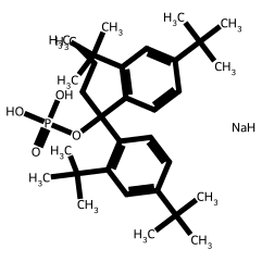 CCCC(OP(=O)(O)O)(c1ccc(C(C)(C)C)cc1C(C)(C)C)c1ccc(C(C)(C)C)cc1C(C)(C)C.[NaH]